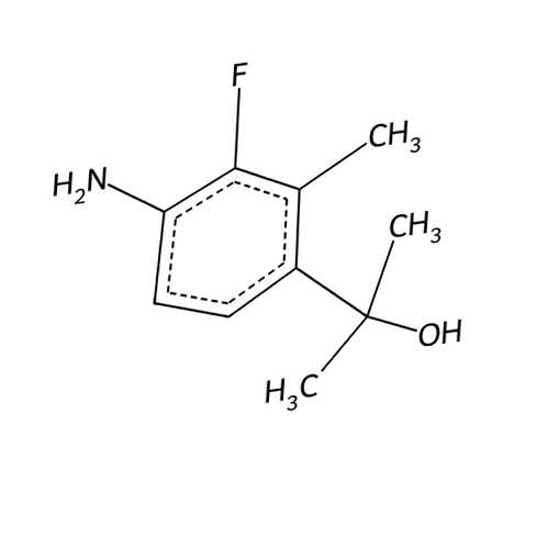 Cc1c(C(C)(C)O)ccc(N)c1F